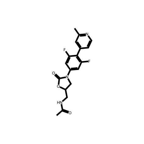 CC(=O)NCC1CN(c2cc(F)c(-c3ccnc(C)c3)c(F)c2)C(=O)O1